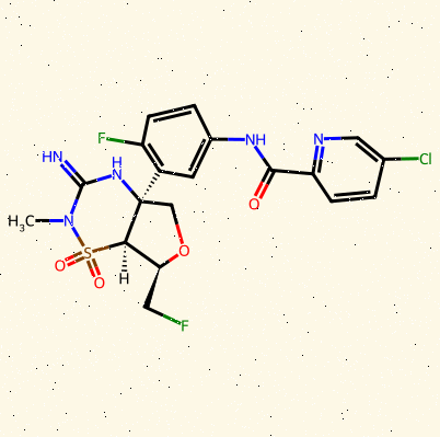 CN1C(=N)N[C@@]2(c3cc(NC(=O)c4ccc(Cl)cn4)ccc3F)CO[C@@H](CF)[C@H]2S1(=O)=O